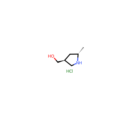 C[C@H]1C[C@H](CO)CN1.Cl